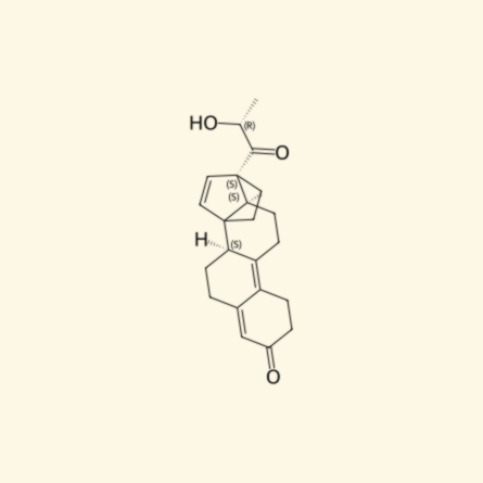 C[C@@H](O)C(=O)[C@]12C=CC3(CC1)[C@@H]1CCC4=CC(=O)CCC4=C1CC[C@@]32C